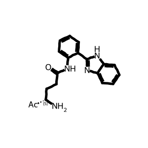 CC(=O)[C@@H](N)CCC(=O)Nc1ccccc1-c1nc2ccccc2[nH]1